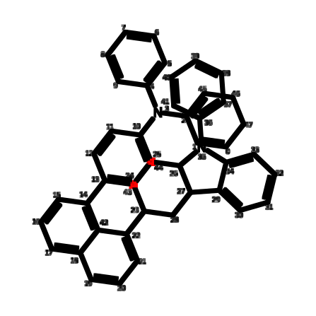 C1=CC(N(c2ccccc2)c2ccc(-c3cccc4cccc(C5CCC6C(C5)c5ccccc5N6c5ccccc5)c34)cc2)=CCC1